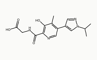 Cc1c(-c2cnn(C(C)C)c2)cnc(C(=O)NCC(=O)O)c1O